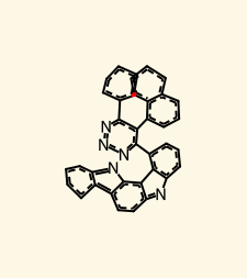 c1ccc(-c2nnnc(-c3cccc4c3-c3c5c(ccc3=N4)=c3ccccc3=N5)c2-c2cccc3ccccc23)cc1